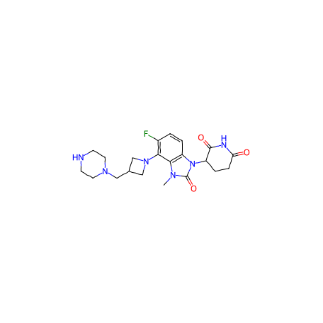 Cn1c(=O)n(C2CCC(=O)NC2=O)c2ccc(F)c(N3CC(CN4CCNCC4)C3)c21